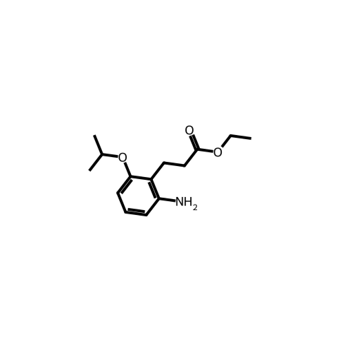 CCOC(=O)CCc1c(N)cccc1OC(C)C